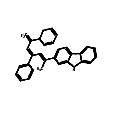 C=C(/C=C(\C=C(/C)c1ccc2c(c1)[nH]c1ccccc12)c1ccccc1)C1C=CC=CC1